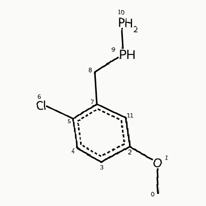 COc1ccc(Cl)c(CPP)c1